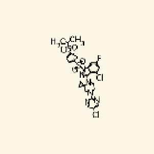 CC(C)S(=O)(=O)c1ccc(S(=O)(=O)n2nc(N3CCN(c4ncc(Cl)cn4)CC34CC4)c3c(Cl)cc(F)cc32)s1